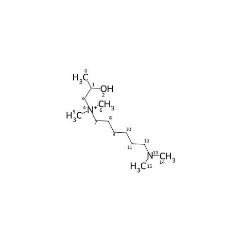 CC(O)C[N+](C)(C)CCCCCCN(C)C